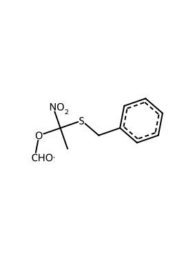 CC(O[C]=O)(SCc1ccccc1)[N+](=O)[O-]